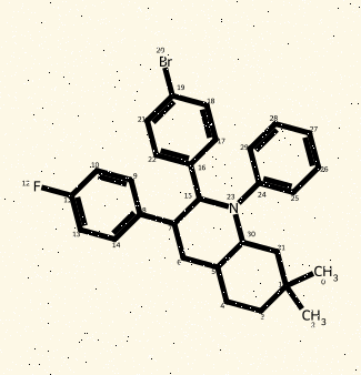 CC1(C)CCC2CC(c3ccc(F)cc3)C(c3ccc(Br)cc3)N(c3ccccc3)C2C1